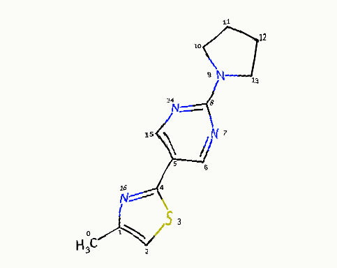 Cc1csc(-c2cnc(N3CCCC3)nc2)n1